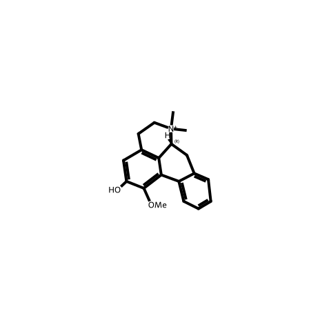 COc1c(O)cc2c3c1-c1ccccc1C[C@H]3[N+](C)(C)CC2